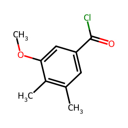 COc1cc(C(=O)Cl)cc(C)c1C